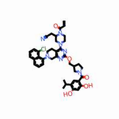 C=CC(=O)N1CCN(c2nc(OCC3CCN(C(=O)c4cc(C(C)C)c(O)cc4O)C3)nc3c2CCN(c2cccc4cccc(Cl)c24)C3)CC1CC#N